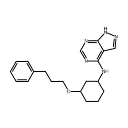 c1ccc(CCCOC2CCCC(Nc3ncnc4[nH]ncc34)C2)cc1